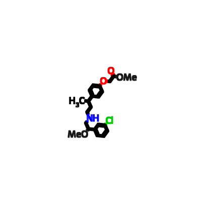 COC(=O)COc1ccc(C(C)CCNCC(OC)c2cccc(Cl)c2)cc1